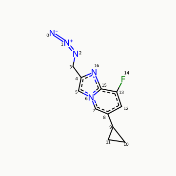 [N-]=[N+]=NCc1cn2cc(C3CC3)cc(F)c2n1